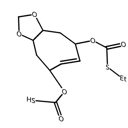 CCSC(=O)OC1/C=C/C(OC(=O)S)CC2OCOC2C1